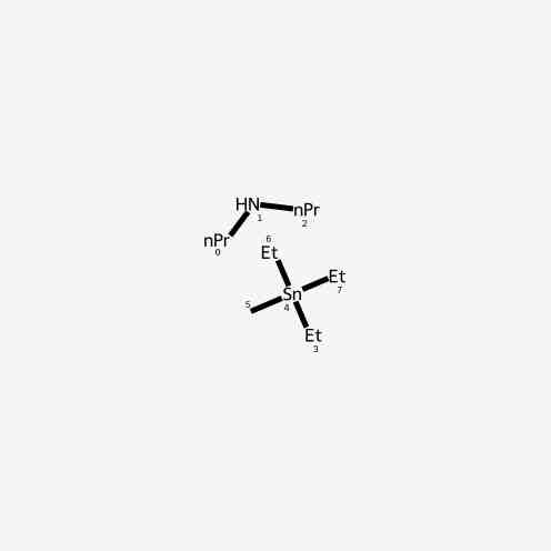 CCCNCCC.C[CH2][Sn]([CH3])([CH2]C)[CH2]C